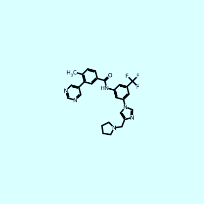 Cc1ccc(C(=O)Nc2cc(-n3cnc(CN4CCCC4)c3)cc(C(F)(F)F)c2)cc1-c1cncnc1